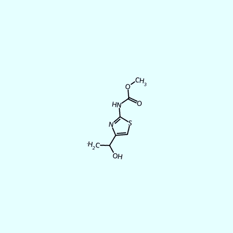 [CH2]C(O)c1csc(NC(=O)OC)n1